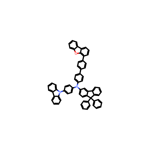 c1ccc(C2(c3ccccc3)c3ccccc3-c3cc(N(c4ccc(-c5ccc(-c6cccc7c6oc6ccccc67)cc5)cc4)c4ccc(-n5c6ccccc6c6ccccc65)cc4)ccc32)cc1